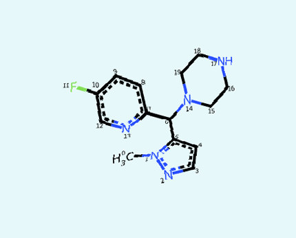 Cn1nccc1C(c1ccc(F)cn1)N1CCNCC1